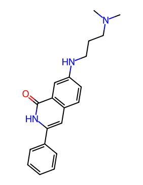 CN(C)CCCNc1ccc2cc(-c3ccccc3)[nH]c(=O)c2c1